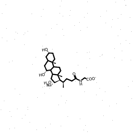 C[C@H](CCC(=O)NCC(=O)[O-])[C@H]1CCC2C3C(CC[C@@]21C)[C@@]1(C)CC[C@@H](O)CC1C[C@H]3O.O.[Na+]